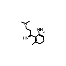 CC1=C(C(=N)CCN(C)C)C(N)=CCC1